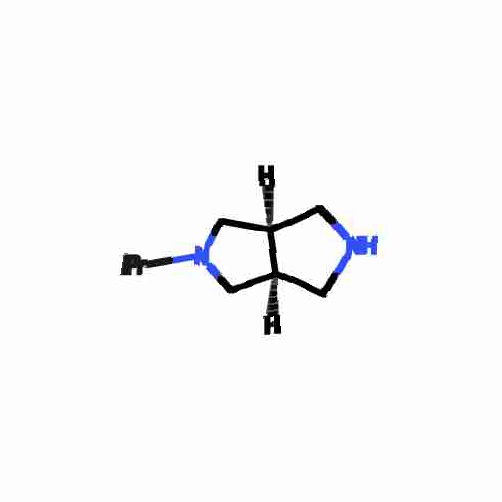 CC(C)N1C[C@H]2CNC[C@H]2C1